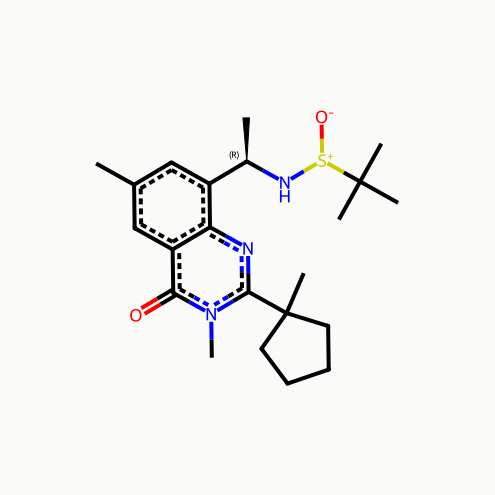 Cc1cc([C@@H](C)N[S+]([O-])C(C)(C)C)c2nc(C3(C)CCCC3)n(C)c(=O)c2c1